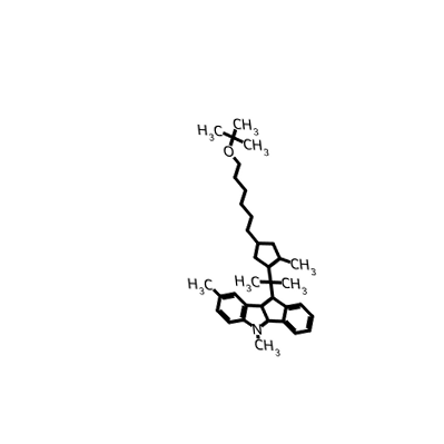 Cc1ccc2c(c1)C1C(c3ccccc3C1C(C)(C)C1CC(CCCCCCOC(C)(C)C)CC1C)N2C